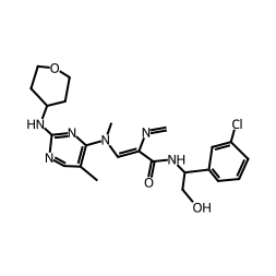 C=N/C(=C\N(C)c1nc(NC2CCOCC2)ncc1C)C(=O)NC(CO)c1cccc(Cl)c1